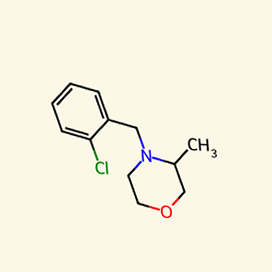 CC1COCCN1Cc1ccccc1Cl